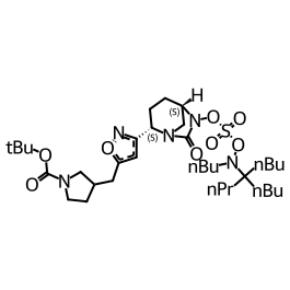 CCCCN(OS(=O)(=O)ON1C(=O)N2C[C@@H]1CC[C@H]2c1cc(CC2CCN(C(=O)OC(C)(C)C)C2)on1)C(CCC)(CCCC)CCCC